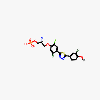 CC(C)Oc1ccc(-c2nnc(-c3cc(F)c(OC[C@@H](N)COP(=O)(O)O)cc3Cl)s2)cc1Cl